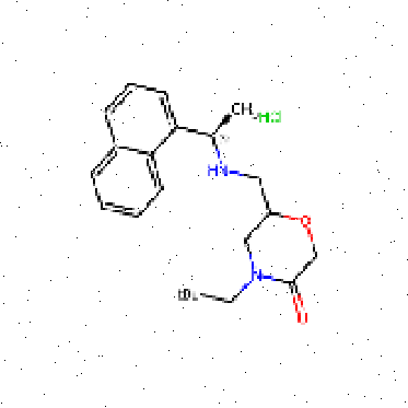 C[C@@H](NCC1CN(CC(C)(C)C)C(=O)CO1)c1cccc2ccccc12.Cl